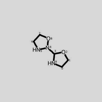 C1COC(N2NCCO2)N1